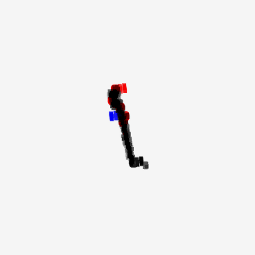 CCCCCCCCCCCCCCCCCCOCC(=O)NCCOc1ccc(Oc2ccc(O)cc2)cc1